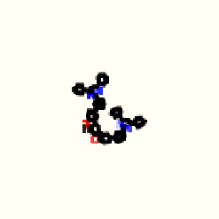 C1=c2oc3ccc(-c4cccc(-c5nc(-c6ccccc6)cc(-c6ccccc6)n5)c4)cc3c2=CC2c3cc(-c4cccc(-c5nc(-c6ccccc6)cc(-c6ccccc6)n5)c4)ccc3O[C@H]12